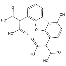 O=C(O)C(C(=O)O)c1cccc2c1oc1c(C(C(=O)O)C(=O)O)ccc(O)c12